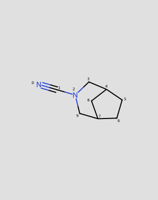 N#CN1CC2CCC(C2)C1